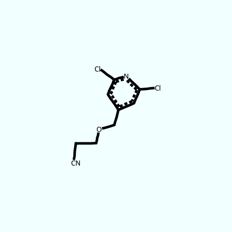 N#CCCOCc1cc(Cl)nc(Cl)c1